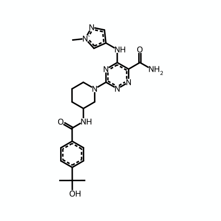 Cn1cc(Nc2nc(N3CCCC(NC(=O)c4ccc(C(C)(C)O)cc4)C3)nnc2C(N)=O)cn1